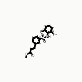 COC(=O)C=Cc1cccc(S(=O)(=O)Nc2c(F)cccc2F)c1